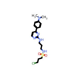 CN(C)c1ccc(-c2ccnc(NCCCNS(=O)(=O)CCCCl)n2)cc1